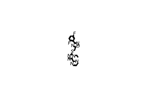 CCn1c(SCc2nc(-c3cc(F)ccc3F)no2)nnc1-c1ncccn1